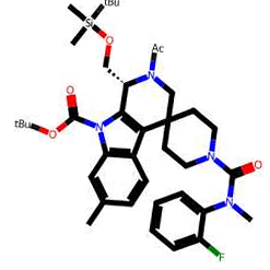 CC(=O)N1CC2(CCN(C(=O)N(C)c3ccccc3F)CC2)c2c(n(C(=O)OC(C)(C)C)c3cc(C)ccc23)[C@@H]1CO[Si](C)(C)C(C)(C)C